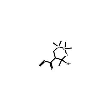 C=CC(=O)C1C[Si](C)(C)[Si](C)(C)OC1(C)CCC